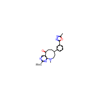 CSc1ncc2c(n1)N(C)CCC(c1cccc(-c3nnc(C)o3)c1)CCC2=O